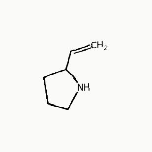 C=CC1CCCN1